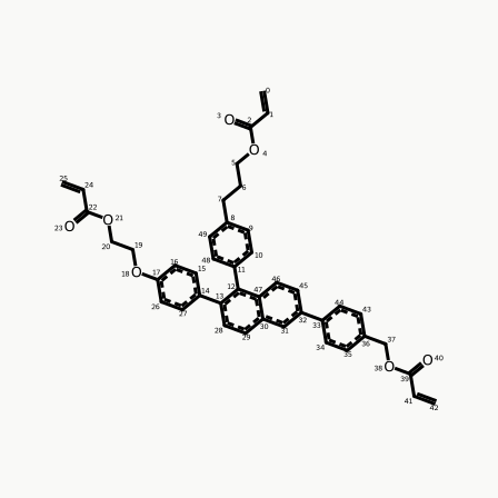 C=CC(=O)OCCCc1ccc(-c2c(-c3ccc(OCCOC(=O)C=C)cc3)ccc3cc(-c4ccc(COC(=O)C=C)cc4)ccc23)cc1